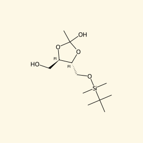 CC1(O)O[C@H](CO)[C@@H](CO[Si](C)(C)C(C)(C)C)O1